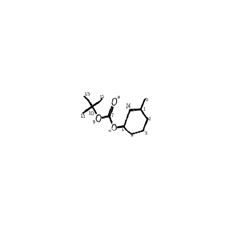 CC1CCCC(OC(=O)OC(C)(C)C)C1